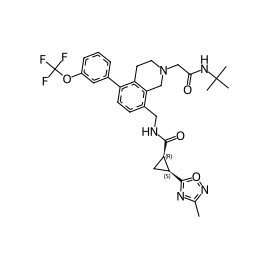 Cc1noc([C@H]2C[C@H]2C(=O)NCc2ccc(-c3cccc(OC(F)(F)F)c3)c3c2CN(CC(=O)NC(C)(C)C)CC3)n1